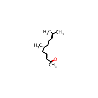 CC(=O)/C=C/C[C@H](C)CCC=C(C)C